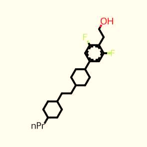 CCCC1CCC(CCC2CCC(c3cc(F)c(CCO)c(F)c3)CC2)CC1